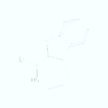 CCC1NCCC=C2c3ccccc3SC21